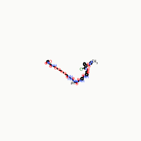 CC(C)[C@H](NCC(=O)NCCNC(=O)CCOCCOCCOCCOCCNC(=O)CCN1C(=O)C=CC1=O)C(=O)NCC(=O)Nc1ccc(C(=O)Nc2ccc3oc(C(=O)N4C[C@@H](CCl)c5c4cc(OC(=O)N4CCN(C)CC4)c4ccccc54)cc3c2)cc1